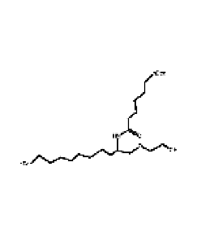 CCCCCCCCCCCCCCCCCCC(COCCO)NC(=O)CCCCCCCCCCCCCCC